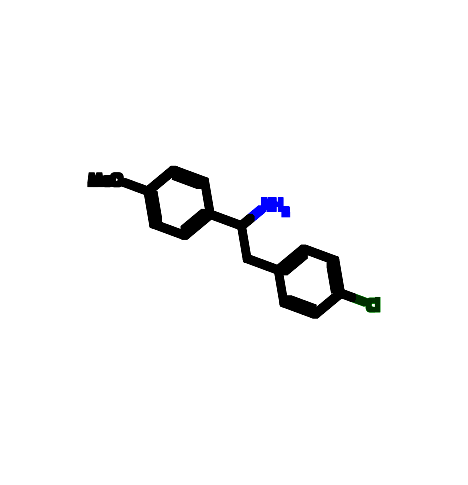 COc1ccc(C(N)Cc2ccc(Cl)cc2)cc1